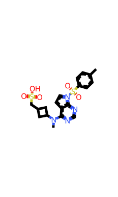 Cc1ccc(S(=O)(=O)n2ccc3c(N(C)C4CC(CS(=O)(=O)O)C4)ncnc32)cc1